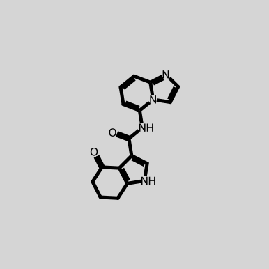 O=C(Nc1cccc2nccn12)c1c[nH]c2c1C(=O)CCC2